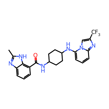 Cc1nc2cccc(C(=O)NC3CCC(Nc4cccc5nc(C(F)(F)F)cn45)CC3)c2[nH]1